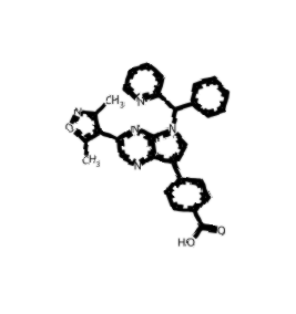 Cc1noc(C)c1-c1cnc2c(-c3ccc(C(=O)O)cc3)cn(C(c3ccccc3)c3ccccn3)c2n1